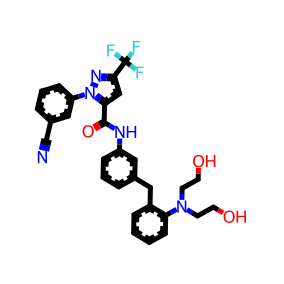 N#Cc1cccc(-n2nc(C(F)(F)F)cc2C(=O)Nc2cccc(Cc3ccccc3N(CCO)CCO)c2)c1